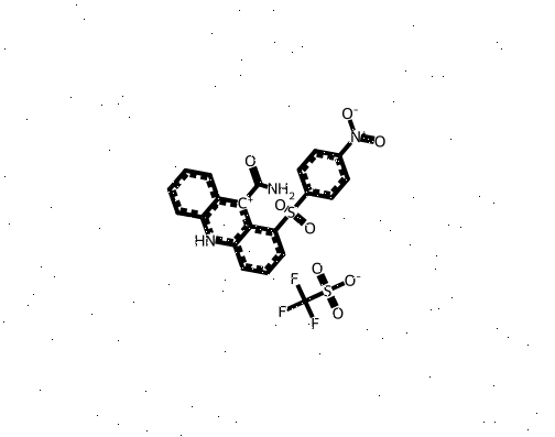 NC(=O)[c+]1c2ccccc2[nH]c2cccc(S(=O)(=O)c3ccc([N+](=O)[O-])cc3)c21.O=S(=O)([O-])C(F)(F)F